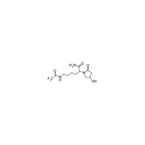 CCCC1CC(=O)N(C(CCCCNC(=O)C(F)(F)F)C(N)=O)C1